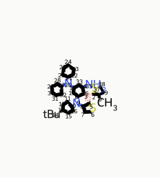 CC1=C(B2c3sccc3N(c3ccc(C(C)(C)C)cc3)c3cc(N(c4ccccc4)c4ccccc4)cc(N)c32)SCC1